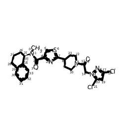 CN(C(=O)c1csc(C2CCN(C(=O)Cn3nc(Cl)cc3Cl)CC2)n1)[C@@H]1CCCc2ccccc21